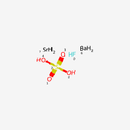 F.O=S(=O)(O)O.[BaH2].[SrH2]